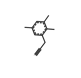 [C]#CCc1cc(C)cc(C)c1C